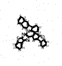 c1ccc2cc3c(cc2c1)c1ccccc1n3-c1nc2sc3ccccc3c2nc1-c1ccc2oc3ccccc3c2c1